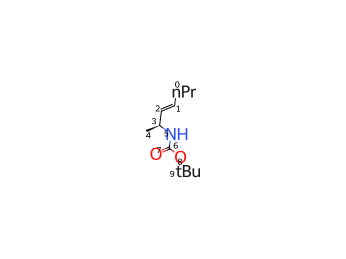 CCCC=C[C@H](C)NC(=O)OC(C)(C)C